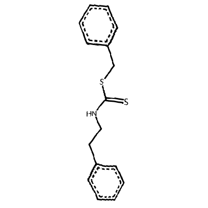 S=C(NCCc1ccccc1)SCc1ccccc1